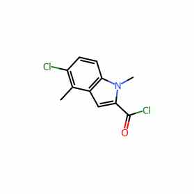 Cc1c(Cl)ccc2c1cc(C(=O)Cl)n2C